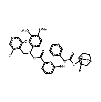 COc1ccc([C@H](Cc2c(Cl)cncc2Cl)OC(=O)c2cccc(N[C@@H](C(=O)O[C@H]3CN4CCC3CC4)c3ccccc3)c2)cc1OC